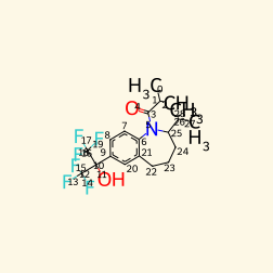 CC(C)C(=O)N1c2ccc(C(O)(C(F)(F)F)C(F)(F)F)cc2CCCC1C(C)C